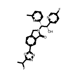 Cc1cccc([C@H]([C@@H](O)c2ccc(F)cn2)N2Cc3ccc(-c4nnc(C(C)F)o4)cc3C2=O)n1